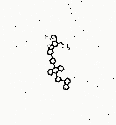 C=Cc1cc2c(cc1/C=C\C)oc1ccc(-c3ccc(-c4c5ccccc5c(-c5cccc(-c6cccc7ccccc67)c5)c5ccccc45)cc3)cc12